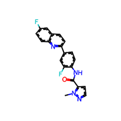 Cn1nccc1C(=O)Nc1ccc(-c2ccc3cc(F)ccc3n2)cc1F